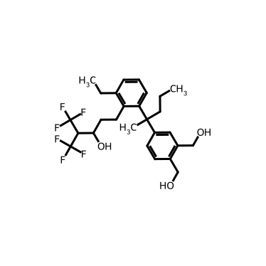 CCCC(C)(c1ccc(CO)c(CO)c1)c1cccc(CC)c1CCC(O)C(C(F)(F)F)C(F)(F)F